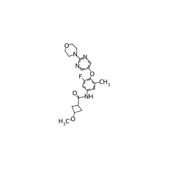 COC1CC(C(=O)Nc2cc(C)c(Oc3cnc(N4CCOCC4)nc3)c(F)c2)C1